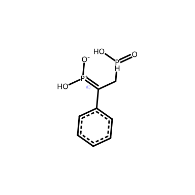 O=[PH](O)C/C(c1ccccc1)=[P+](\[O-])O